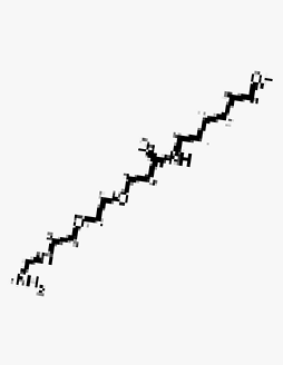 NCOCCOCCOCCC(=O)NCCCCCCO